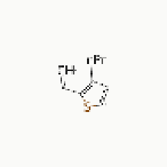 [CH]=Cc1s[c]cc1CCC